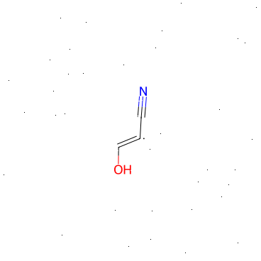 N#C[C]=CO